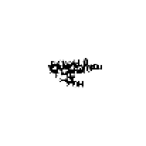 C[C@H]1C[C@H](O)CN1c1nc(-c2ccccc2F)c(Cl)c2c1C(=O)N1CCN(C(=O)OC(C)(C)C)C[C@@H]1CO2